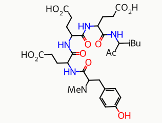 CCC(C)C(NC(=O)C(CCC(=O)O)NC(=O)C(CCC(=O)O)NC(=O)C(CCC(=O)O)NC(=O)C(Cc1ccc(O)cc1)NC)C(C)=O